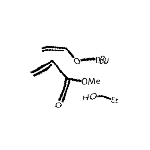 C=CC(=O)OC.C=COCCCC.[CH2]CO